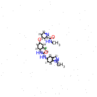 CNC(=O)c1cc(Oc2ccc(NC(=O)Nc3ccc4c(cnn4C)c3)c(F)c2)ccn1